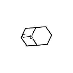 ClB1C2CCCC1CCC2